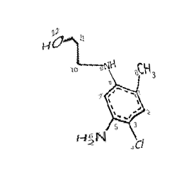 Cc1cc(Cl)c(N)cc1NCCO